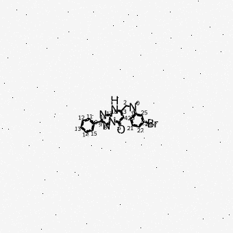 CN(Cc1cc(=O)n2nc(-c3ccccc3)nc2[nH]1)c1cccc(Br)c1